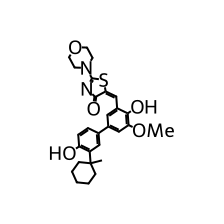 COc1cc(-c2ccc(O)c(C3(C)CCCCC3)c2)cc(/C=C2/SC(N3CCOCC3)=NC2=O)c1O